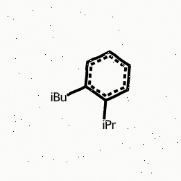 [CH2]C(CC)c1ccccc1C(C)C